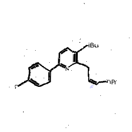 CCC/C=C\Cc1nc(-c2ccc(F)cc2)ccc1C(C)CC